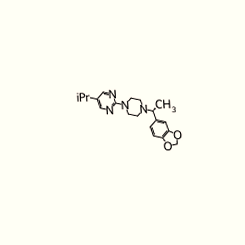 CC(C)c1cnc(N2CCN([C@@H](C)c3ccc4c(c3)OCO4)CC2)nc1